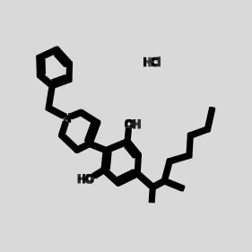 CCCCCC(C)C(C)c1cc(O)c(C2=CCN(Cc3ccccc3)CC2)c(O)c1.Cl